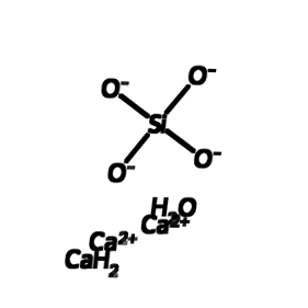 O.[Ca+2].[Ca+2].[CaH2].[O-][Si]([O-])([O-])[O-]